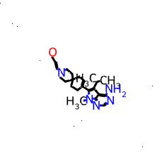 CC(C)c1c(C2=CCC3(CC2)CCN(C=CC=O)CC3)n(C)c2ncnc(N)c12